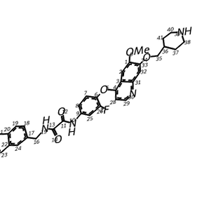 COc1cc2c(Oc3ccc(NC(=O)C(=O)NCc4ccc(F)c(Cl)c4)cc3F)ccnc2cc1OCC1CCNCC1